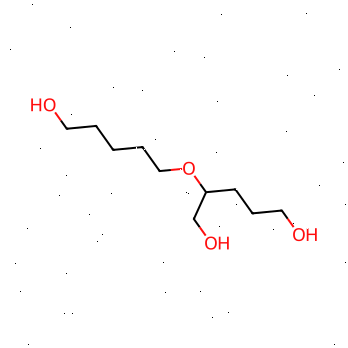 OCCCCCOC(CO)CCCO